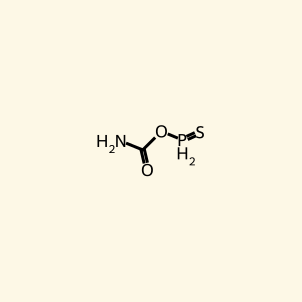 NC(=O)O[PH2]=S